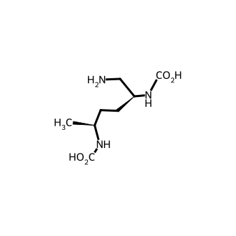 C[C@@H](CC[C@@H](CN)NC(=O)O)NC(=O)O